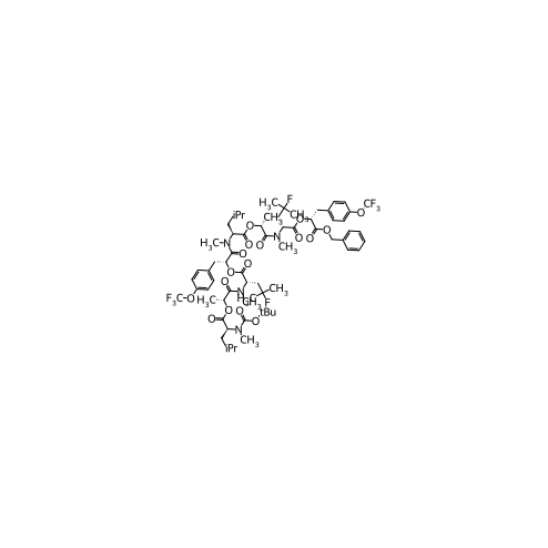 CC(C)C[C@@H](C(=O)O[C@H](C)C(=O)N(C)[C@@H](CC(C)(C)F)C(=O)O[C@H](Cc1ccc(OC(F)(F)F)cc1)C(=O)N(C)[C@@H](CC(C)C)C(=O)O[C@H](C)C(=O)N(C)[C@H](CC(C)(C)F)C(=O)O[C@H](Cc1ccc(OC(F)(F)F)cc1)C(=O)OCc1ccccc1)N(C)C(=O)OC(C)(C)C